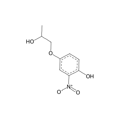 CC(O)COc1ccc(O)c([N+](=O)[O-])c1